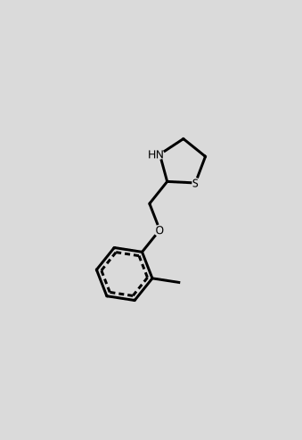 Cc1ccccc1OCC1NCCS1